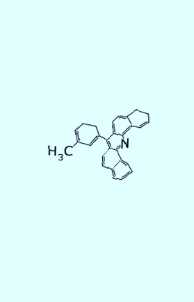 CC1=CCCC(c2c3ccc4c(c3nc3c2ccc2ccccc23)C=CCC4)=C1